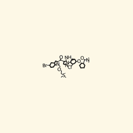 CN(C)C(=O)c1ccccc1Oc1ccc(-n2ncc(C(=O)c3cc4cc(Br)ccc4n3COCCS(C)(C)C)c2N)c(Cl)c1